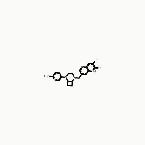 CCc1cc2ncc(CN3CCN(c4ccc(C)nc4)C4CCC43)cc2[nH]c1=O